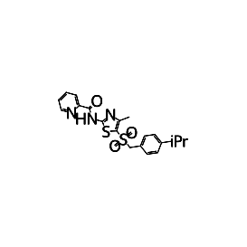 Cc1nc(NC(=O)c2ccccn2)sc1S(=O)(=O)Cc1ccc(C(C)C)cc1